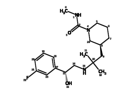 CNC(=O)N1CCC[C@@H](CC(C)(C)NC[C@H](O)c2cccc(F)c2)C1